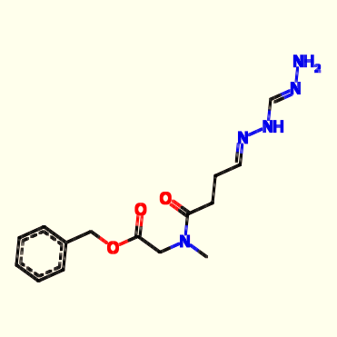 CN(CC(=O)OCc1ccccc1)C(=O)CCC=NNC=NN